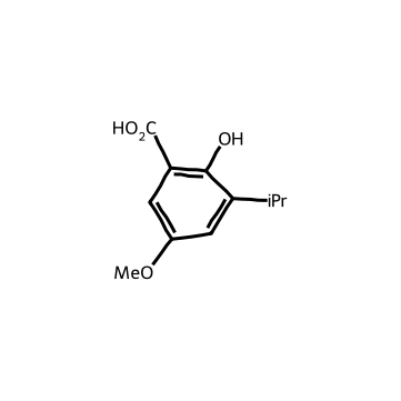 COc1cc(C(=O)O)c(O)c(C(C)C)c1